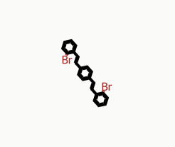 Brc1ccccc1C=Cc1ccc(C=Cc2ccccc2Br)cc1